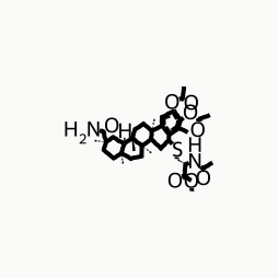 COC(=O)[C@H](CSC1CC2[C@@](C)(CC[C@@]3(C)[C@@H]4C[C@](C)(C(N)=O)CC[C@]4(C)CC[C@]23C)c2cc(OC(C)=O)c(OC(C)=O)c(C)c21)NC(C)=O